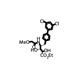 CCOC(=O)[C@@H](O)[C@H](O)[C@@H](Cc1ccc(-c2cc(Cl)cc(Cl)c2)cc1)NC(=O)COC